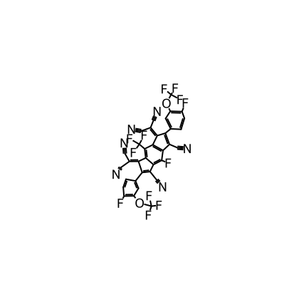 N#CC(C#N)=C1C(c2ccc(F)c(OC(F)(F)F)c2)=C(C#N)c2c(F)c3c(c(C(F)(F)F)c21)C(=C(C#N)C#N)C(c1ccc(F)c(OC(F)(F)F)c1)=C3C#N